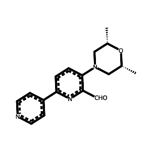 C[C@@H]1CN(c2ccc(-c3ccncc3)nc2C=O)C[C@H](C)O1